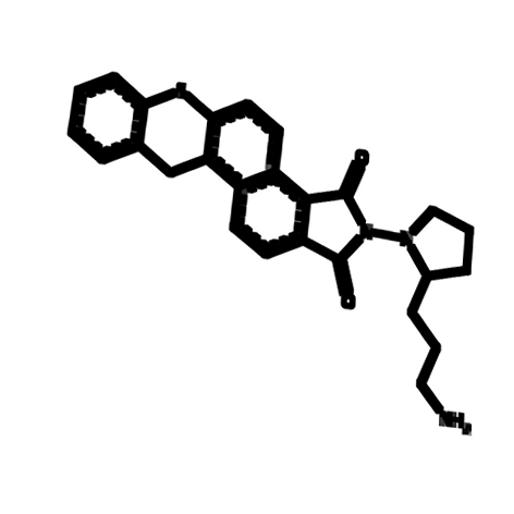 NCCCC1CCCN1N1C(=O)c2ccc3c4c(ccc3c2C1=O)Sc1ccccc1C4